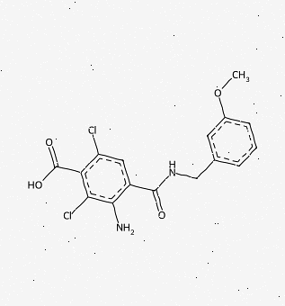 COc1cccc(CNC(=O)c2cc(Cl)c(C(=O)O)c(Cl)c2N)c1